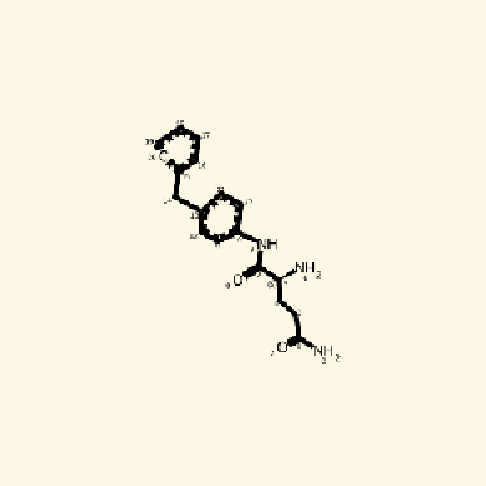 NC(=O)CC[C@H](N)C(=O)Nc1ccc(Cc2ccccc2)cc1